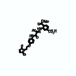 COC(=O)c1ccc(C(=O)O)cc1N/N=C(\C(C)=O)C(=O)Nc1ccc(OCCN2C(=O)C=CC2=O)cc1